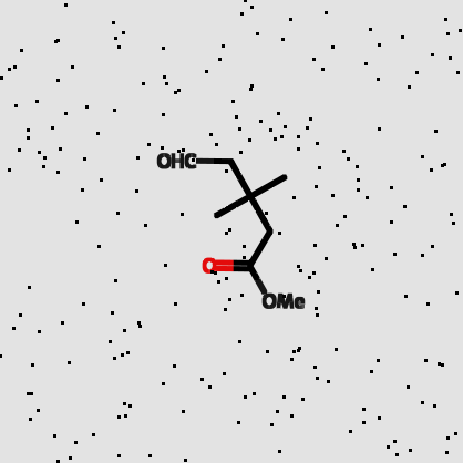 COC(=O)CC(C)(C)CC=O